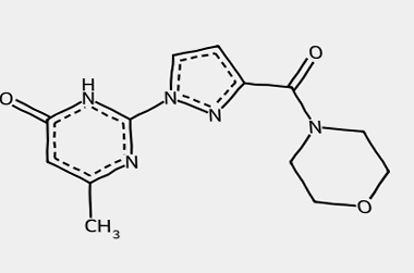 Cc1cc(=O)[nH]c(-n2ccc(C(=O)N3CCOCC3)n2)n1